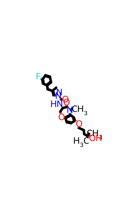 CN1C(=O)[C@@H](NC(=O)n2cc(Cc3cccc(F)c3)cn2)COc2ccc(OCCCC(C)(C)O)cc21